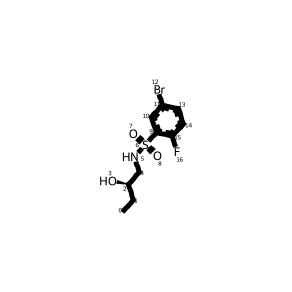 CC[C@@H](O)CNS(=O)(=O)c1cc(Br)ccc1F